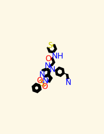 N#CC[C@H]1CC[C@H](n2c(CC(=O)NC3CCSCC3)nc3cnc4c(ccn4S(=O)(=O)c4ccccc4)c32)CC1